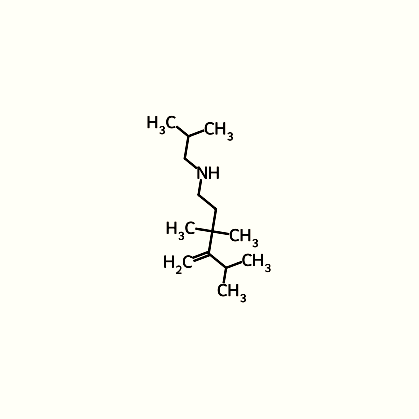 C=C(C(C)C)C(C)(C)CCNCC(C)C